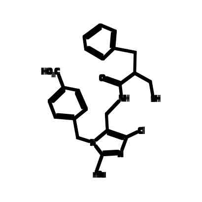 CCCCc1nc(Cl)c(CNC(=O)C(CS)Cc2ccccc2)n1Cc1ccc(C(=O)O)cc1